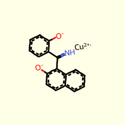 N=C(c1ccccc1[O-])c1c([O-])ccc2ccccc12.[Cu+2]